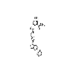 Cc1ccc(CC(=O)N2CCC3(CC2)CN([C@@H]2CCc4cc(-c5ncccn5)ccc42)C3)c(C(N)=O)c1